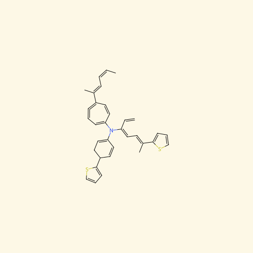 C=C/C(=C\C=C(/C)c1cccs1)N(C1=CC=C=C(/C(C)=C/C=C\C)C=C1)C1=CCC(c2cccs2)C=C1